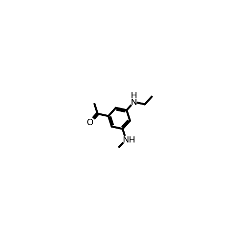 CCNc1cc(NC)cc(C(C)=O)c1